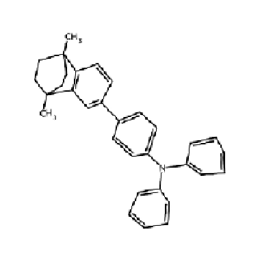 CC12CCC(C)(CC1)c1cc(-c3ccc(N(c4ccccc4)c4ccccc4)cc3)ccc12